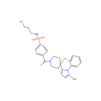 N#Cc1ccc2n1-c1ccccc1OC21CCN(C(=O)c2ccc(S(=O)(=O)NCCCO)cc2)CC1